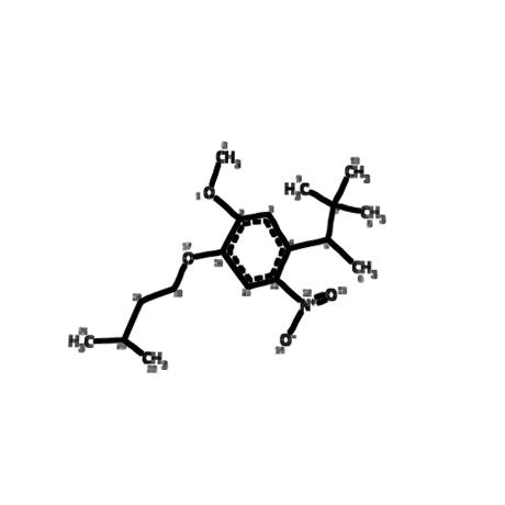 COc1cc(C(C)C(C)(C)C)c([N+](=O)[O-])cc1OCCC(C)C